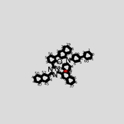 c1ccc(-c2ccc(N(c3ccccc3)c3c4ccccc4cc4c3oc3c(-c5nc(-c6ccc7ccccc7c6)nc(-c6ccc7ccccc7c6)n5)cccc34)cc2)cc1